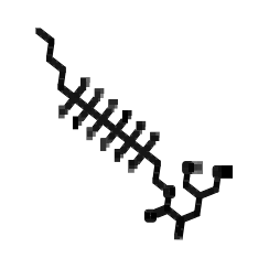 C=C(CC(CO)CO)C(=O)OCCC(F)(F)C(F)(F)C(F)(F)C(F)(F)C(F)(F)C(F)(F)CCCCC